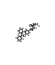 CN(N=Cc1ccc(OC(c2ccccc2)c2ccccc2)cc1)C(N)=O